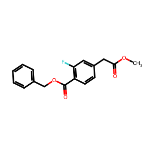 COC(=O)Cc1ccc(C(=O)OCc2ccccc2)c(F)c1